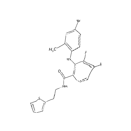 Cc1cc(Br)ccc1Nc1c(C(=O)NCCc2cccs2)ccc(F)c1F